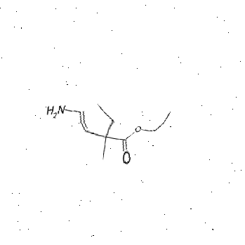 CCOC(=O)C(C)(C=CN)CC